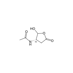 CC(=O)N[C@H]1CC(=O)OC1O